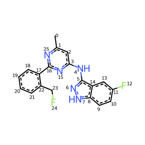 Cc1cc(Nc2n[nH]c3ccc(F)cc23)nc(-c2ccccc2CF)n1